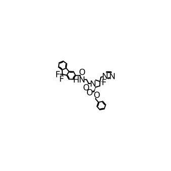 O=C(NCC(=O)N1C[C@@](F)(Cn2ccnc2)C[C@H]1C(=O)OCc1ccccc1)c1ccc2c(c1)-c1ccccc1C2(F)F